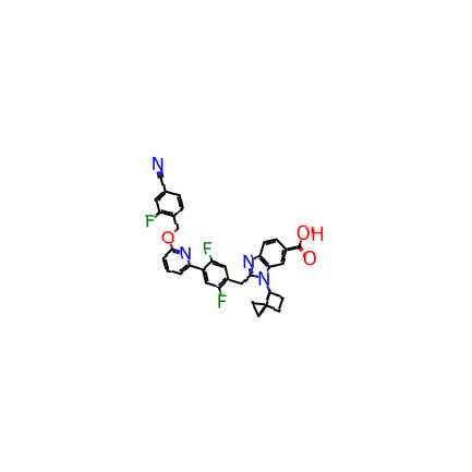 N#Cc1ccc(COc2cccc(-c3cc(F)c(Cc4nc5ccc(C(=O)O)cc5n4C4CCC45CC5)cc3F)n2)c(F)c1